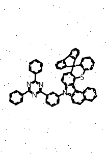 c1ccc(-c2nc(-c3ccccc3)nc(-c3cccc(-n4c5ccc6c(c5c5c7ccccc7ccc54)Sc4ccccc4C64c5ccccc5-c5ccccc54)c3)n2)cc1